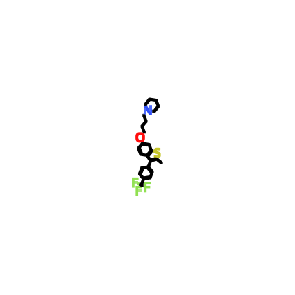 Cc1sc2cc(OCCCCN3CCCCC3)ccc2c1-c1ccc(C(F)(F)F)cc1